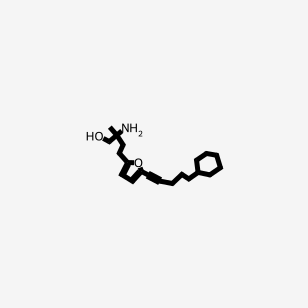 CC(N)(CO)CCc1ccc(C#CCCCC2CCCCC2)o1